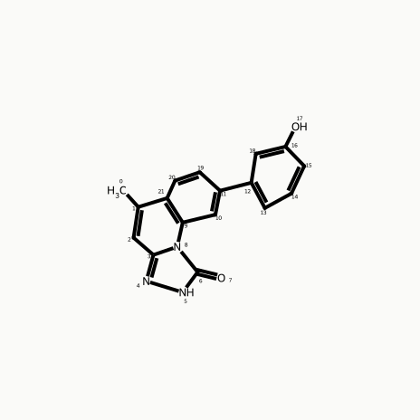 Cc1cc2n[nH]c(=O)n2c2cc(-c3cccc(O)c3)ccc12